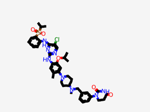 Cc1cc(Nc2ncc(Cl)c(Nc3ccccc3S(=O)(=O)C(C)C)n2)c(OC(C)C)cc1N1CCC(N(C)Cc2cccc(N3CCC(=O)NC3=O)c2)CC1